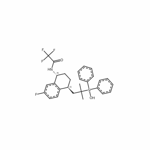 CC(C)(C[C@@H]1CC[C@@H](NC(=O)C(F)(F)F)c2cc(F)ccc21)[Si](O)(c1ccccc1)c1ccccc1